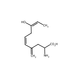 C=C(/C=C\C/C(O)=C\C)CC(N)C(=O)O